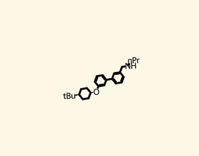 CCCNCc1cccc(-c2cccc(O[C@H]3CC[C@H](C(C)(C)C)CC3)c2)c1